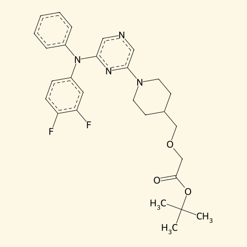 CC(C)(C)OC(=O)COCC1CCN(c2cncc(N(c3ccccc3)c3ccc(F)c(F)c3)n2)CC1